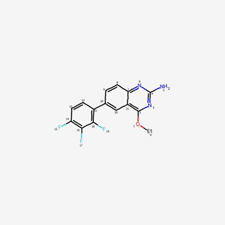 CCOc1nc(N)nc2ccc(-c3ccc(F)c(F)c3F)cc12